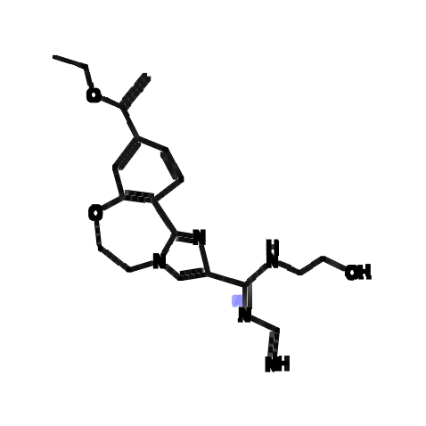 C=C(OCC)c1ccc2c(c1)OCCn1cc(/C(=N/C=N)NCCO)nc1-2